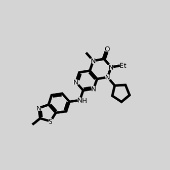 CCN1C(=O)N(C)c2cnc(Nc3ccc4nc(C)sc4c3)nc2N1C1CCCC1